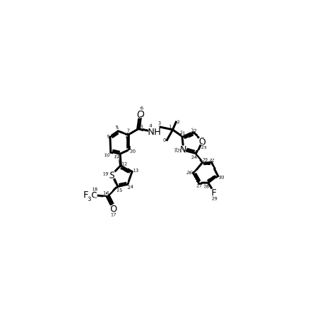 CC(C)(CNC(=O)c1cccc(-c2ccc(C(=O)C(F)(F)F)s2)c1)c1coc(-c2ccc(F)cc2)n1